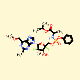 COCc1nc(C)nc2c1ncn2[C@@H]1O[C@](F)(CO[P@@](=O)(NC(C)C(=O)OC(C)C)Oc2ccccc2)[C@@H](O)[C@@]1(C)F